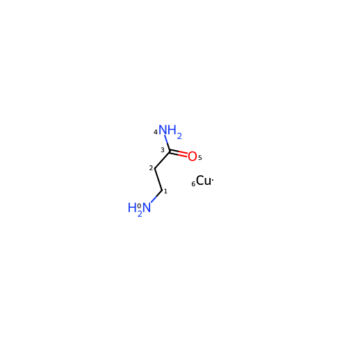 NCCC(N)=O.[Cu]